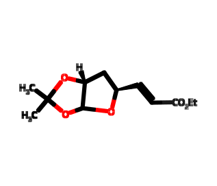 CCOC(=O)/C=C/[C@@H]1C[C@H]2OC(C)(C)OC2O1